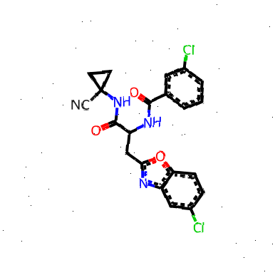 N#CC1(NC(=O)C(Cc2nc3cc(Cl)ccc3o2)NC(=O)c2cccc(Cl)c2)CC1